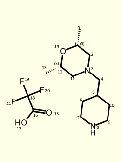 C[C@@H]1CN(CC2CCNCC2)C[C@H](C)O1.O=C(O)C(F)(F)F